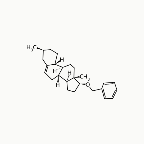 C[C@H]1CC[C@H]2C(=CC[C@@H]3[C@@H]2CC[C@]2(C)[C@@H](OCc4ccccc4)CC[C@@H]32)C1